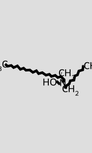 C=C(CCCCCCCCC)N(CCO)C[C@@H](C)CCCCCCCCCCCCCCCCCC